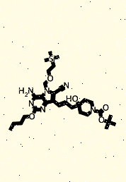 CCCCOc1nc(N)c2c(n1)c(/C=C/CC1(O)CCN(C(=O)OC(C)(C)C)CC1)c(C#N)n2COCC[Si](C)(C)C